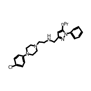 CCCc1cc(CNCCN2CCN(c3ccc(Cl)cc3)CC2)nn1-c1ccccc1